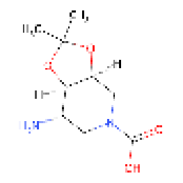 CC1(C)O[C@H]2[C@H](CN(C(=O)O)C[C@@H]2N)O1